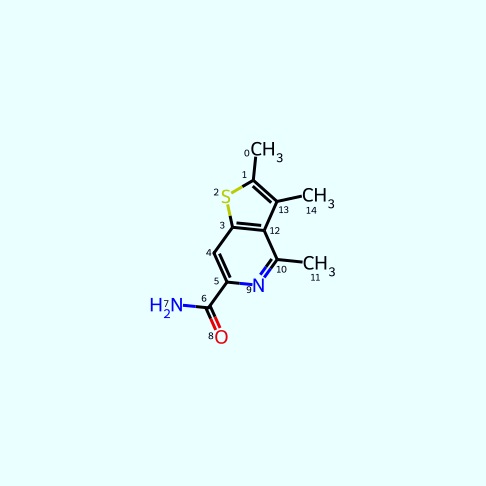 Cc1sc2cc(C(N)=O)nc(C)c2c1C